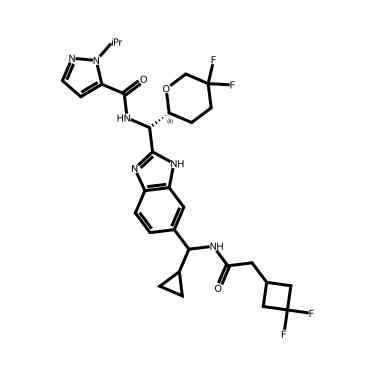 CC(C)n1nccc1C(=O)NC(c1nc2ccc(C(NC(=O)CC3CC(F)(F)C3)C3CC3)cc2[nH]1)[C@H]1CCC(F)(F)CO1